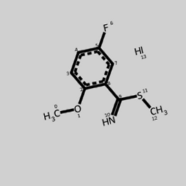 COc1ccc(F)cc1C(=N)SC.I